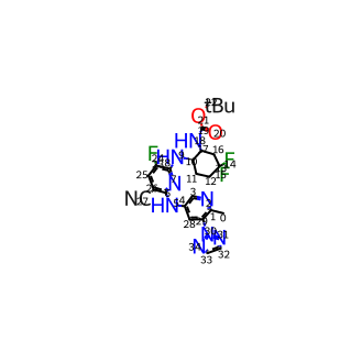 Cc1ncc(Nc2nc(N[C@@H]3CCC(F)(F)C[C@@H]3NC(=O)OC(C)(C)C)c(F)cc2C#N)cc1-n1nccn1